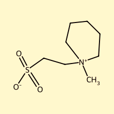 C[N+]1(CCS(=O)(=O)[O-])CCCCC1